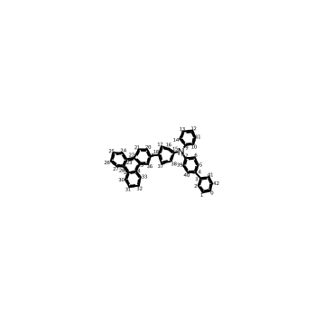 c1ccc(-c2ccc(N(c3ccccc3)c3ccc(-c4ccc5c6ccccc6c6ccccc6c5c4)cc3)cc2)cc1